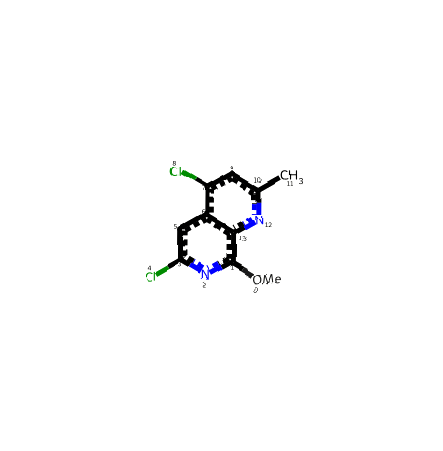 COc1nc(Cl)cc2c(Cl)cc(C)nc12